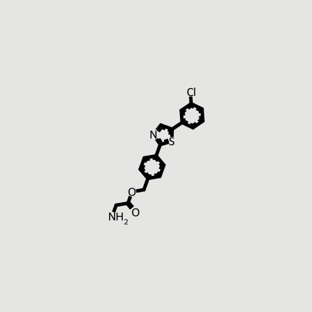 NCC(=O)OCc1ccc(-c2ncc(-c3cccc(Cl)c3)s2)cc1